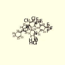 Cl.O.O=C1CCC(c2ccc(Cl)c(Cl)c2)(C2CC3(c4ccccc4)CCN2CC3)CN1Cc1cc(C(F)(F)F)cc(C(F)(F)F)c1